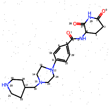 O=C1CCC(NC(=O)c2ccc(N3CCN(CC4CCNCC4)CC3)cc2)C(=O)N1